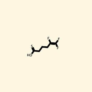 OC(=S)CCCC(F)=C(F)F